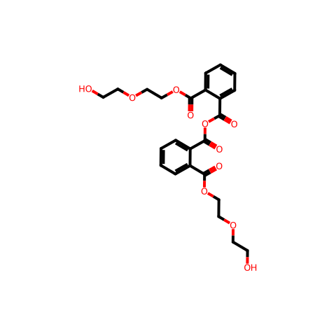 O=C(OCCOCCO)c1ccccc1C(=O)OC(=O)c1ccccc1C(=O)OCCOCCO